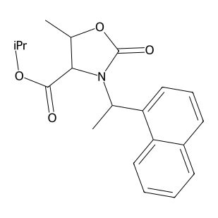 CC(C)OC(=O)C1C(C)OC(=O)N1C(C)c1cccc2ccccc12